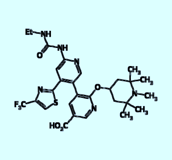 CCNC(=O)Nc1cc(-c2nc(C(F)(F)F)cs2)c(-c2cc(C(=O)O)cnc2OC2CC(C)(C)N(C)C(C)(C)C2)cn1